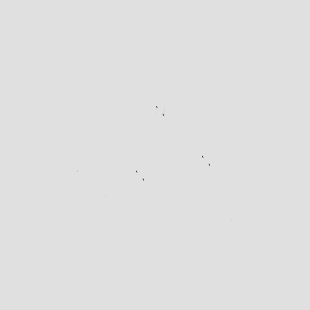 C1C2CN3C(C12)N1CC2CC2C1N1C2CC2CC31